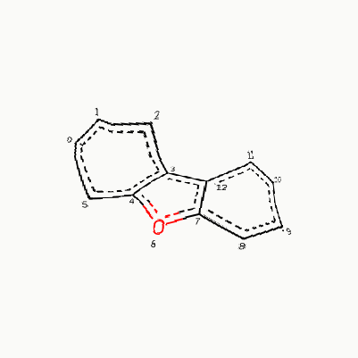 [c]1ccc2c(c1)oc1c[c]ccc12